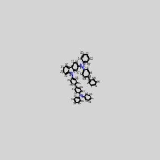 c1ccc(-c2ccc(N(c3ccccc3)c3ccc4c5ccccc5n(-c5ccc(-c6ccc(N(c7ccccc7)c7ccccc7)cc6)cc5)c4c3)cc2)cc1